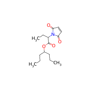 CCCC(CCC)OC(=O)C(CC)N1C(=O)C=CC1=O